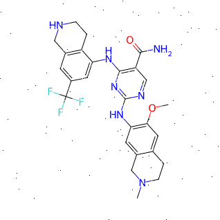 COc1cc2c(cc1Nc1ncc(C(N)=O)c(Nc3cc(C(F)(F)F)cc4c3CCNC4)n1)CN(C)CC2